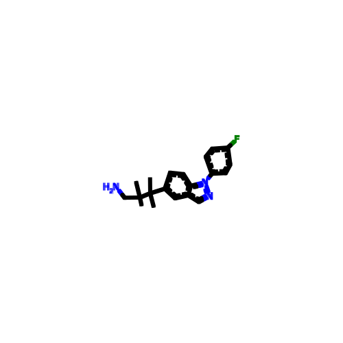 CC(C)(CN)C(C)(C)c1ccc2c(cnn2-c2ccc(F)cc2)c1